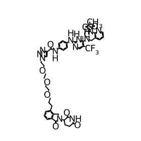 CN(c1ncccc1CNc1nc(Nc2ccc(NC(=O)c3cn(CCOCCOCCOCCCc4cccc5c4CN(C4CCC(=O)NC4=O)C5=O)nn3)cc2)ncc1C(F)(F)F)S(C)(=O)=O